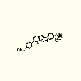 CCCCc1ccc(-c2ccc3cc(-c4ccc(NS(C)(=O)=O)cc4)[nH]c3c2F)cc1